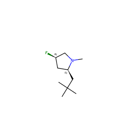 CN1C[C@H](F)C[C@@H]1CC(C)(C)C